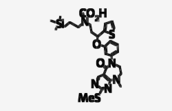 CSc1ncc2c(n1)N(C)CCN(c1cccc(OC(CCN(CCC[Si](C)(C)C)C(=O)O)c3cccs3)c1)C2=O